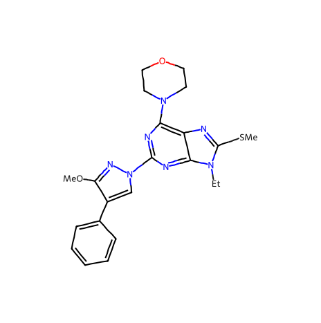 CCn1c(SC)nc2c(N3CCOCC3)nc(-n3cc(-c4ccccc4)c(OC)n3)nc21